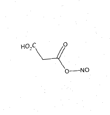 O=NOC(=O)CC(=O)O